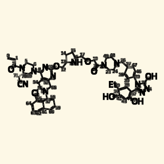 C=CC(=O)N1CCN(c2nc(OCC3CCC(COCC(=O)N4CCN(Cc5ccc(-n6c(O)nnc6-c6cc(CC)c(O)cc6O)cc5)CC4)N3)nc3c2CCN(c2cccc4cccc(Cl)c24)C3)C[C@@H]1CC#N